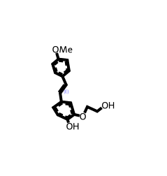 COc1ccc(/C=C/c2ccc(O)c(OCCO)c2)cc1